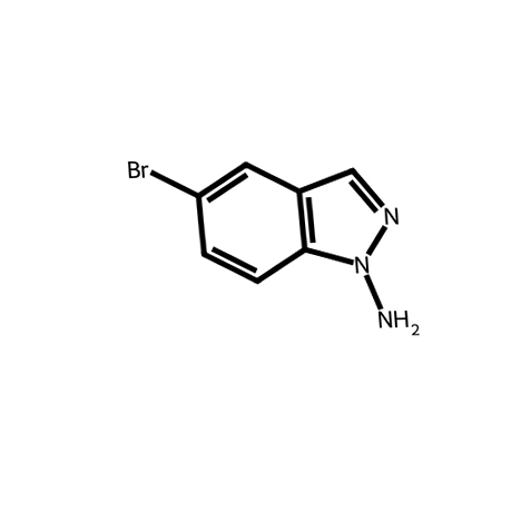 Nn1ncc2cc(Br)ccc21